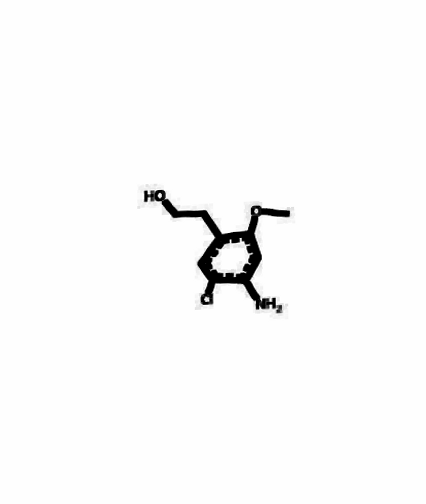 COc1cc(N)c(Cl)cc1CCO